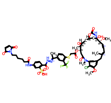 COc1cc2cc(c1Cl)N(C)C(=O)C[C@H](OC(=O)CSc1ccc(/C(C)=N/NC(=O)c3ccc(NC(=O)CCCCCN4C(=O)C=CC4=O)cc3S(=O)(=O)O)cc1C(F)(F)F)[C@]1(C)O[C@H]1C[C@@H]1C[C@@](O)(NC(=O)O1)[C@H](OC)/C=C/C=C(\C)C2